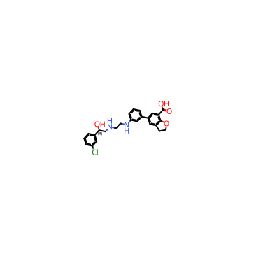 O=C(O)c1cc(-c2cccc(NCCNC[C@H](O)c3cccc(Cl)c3)c2)cc2c1OCC2